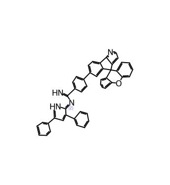 N=C(/N=c1\[nH]cc(-c2ccccc2)cc1-c1ccccc1)c1ccc(-c2ccc3c(c2)C2(c4ccccc4Oc4ccccc42)c2cccnc2-3)cc1